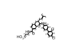 CC(C)=CCC(Cc1ccc(C(=O)NCCS(=O)(=O)O)cc1)C(=O)Nc1ccc(-c2ccc(Cl)cc2Cl)cc1